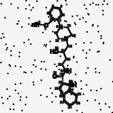 CCCOc1ccccc1N1CCN(CC(O)CCNC(=O)c2cc3ccccc3[nH]2)CC1